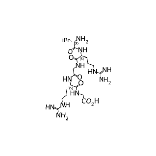 CC(C)[C@H](N)C(=O)N[C@@H](CCCNC(=N)N)C(=O)NCC(=O)N[C@@H](CCCNC(=N)N)C(=O)NCC(=O)O